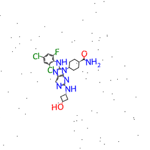 NC(=O)[C@H]1CC[C@@H](n2c(Nc3c(F)cc(Cl)cc3Cl)nc3cnc(N[C@H]4C[C@H](O)C4)nc32)CC1